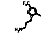 Cc1cc(C(F)(F)F)nn1CCCN